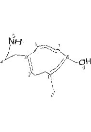 Cc1cc(C[NH])ccc1O